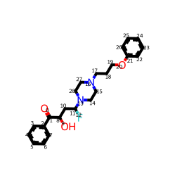 O=C(c1ccccc1)C(O)CC(F)N1CCN(CCCOc2ccccc2)CC1